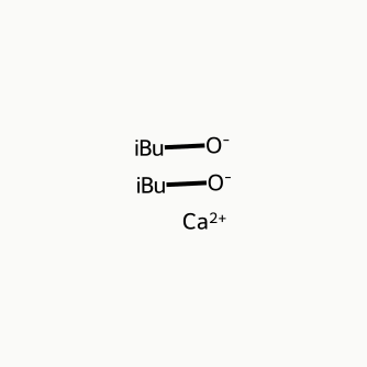 CCC(C)[O-].CCC(C)[O-].[Ca+2]